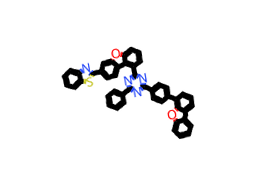 c1ccc(-c2nc(-c3ccc(-c4cccc5c4oc4ccccc45)cc3)nc(-c3cccc4oc5cc(-c6nc7ccccc7s6)ccc5c34)n2)cc1